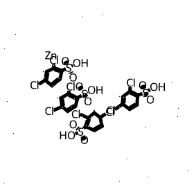 O=S(=O)(O)C1=C(Cl)[CH]C(Cl)C=C1.O=S(=O)(O)c1ccc(Cl)[c]c1Cl.O=S(=O)(O)c1ccc(Cl)[c]c1Cl.O=S(=O)(O)c1ccc(Cl)[c]c1Cl.[Zn]